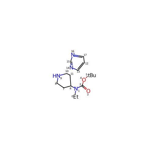 CCN(C(=O)OC(C)(C)C)C1CCNCC1.c1cncnc1